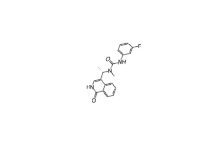 C[C@@H](c1c[nH]c(=O)c2ccccc12)N(C)C(=O)Nc1cccc(F)c1